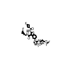 Cn1nc(OC(F)F)cc1Nc1nncn1[C@H]1CCc2sc(NC(=O)[C@H]3C[C@H](F)C3)c(C(=O)NC[C@H]3C[C@H]3F)c2C1